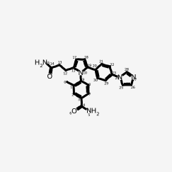 Cc1cc(C(N)=O)ccc1-n1c(CCC(N)=O)ccc1-c1ccc(-n2ccnc2)cc1